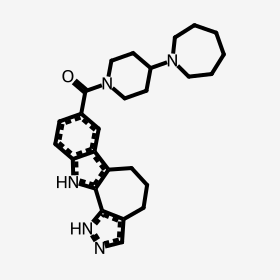 O=C(c1ccc2[nH]c3c(c2c1)CCCc1cn[nH]c1-3)N1CCC(N2CCCCCC2)CC1